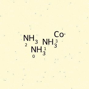 N.N.N.[Co]